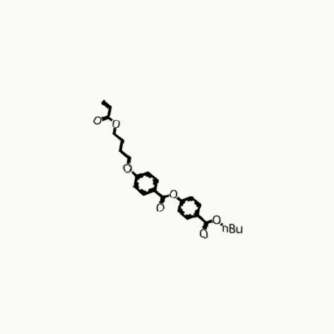 C=CC(=O)OCCCCOc1ccc(C(=O)Oc2ccc(C(=O)OCCCC)cc2)cc1